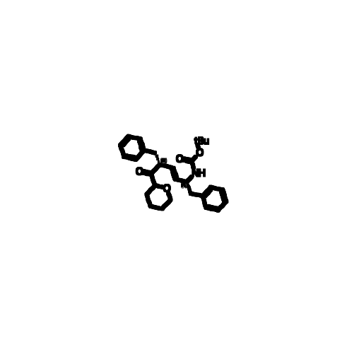 CC(C)(C)OC(=O)N[C@H](C=C[C@@H](Cc1ccccc1)C(=O)C1CCCCO1)Cc1ccccc1